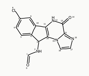 O=CNC1c2ccc(Cl)cc2-c2[nH]c(=O)c3nccn3c21